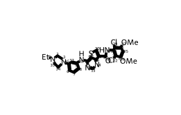 CCN1CCN(c2cccc(Nc3ncnc4c(C(=O)Nc5c(Cl)c(OC)cc(OC)c5Cl)csc34)c2)CC1